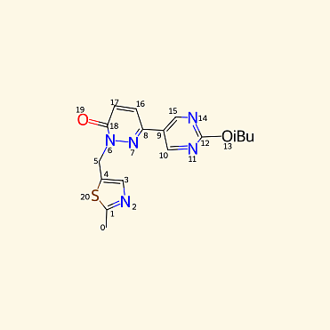 Cc1ncc(Cn2nc(-c3cnc(OCC(C)C)nc3)ccc2=O)s1